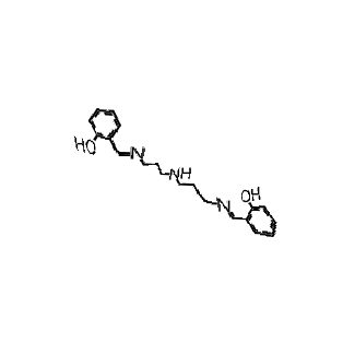 Oc1ccccc1C=NCCCNCCCN=Cc1ccccc1O